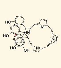 Oc1cccc(C2=C3C=C4C=CC(=N4)C=c4ccc([nH]4)=CC4=NC(=CC(c5cccc(O)c5)(N3)C2(c2cccc(O)c2)c2cccc(O)c2)C=C4)c1